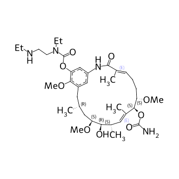 CCNCCN(CC)C(=O)Oc1cc2cc(c1OC)C[C@@H](C)C[C@H](OC)[C@H](O)[C@@H](C)/C=C(\C)[C@H](OC(N)=O)[C@@H](OC)CC/C=C(\C)C(=O)N2